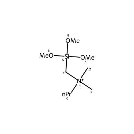 CCC[N+](C)(C)C[Si](OC)(OC)OC